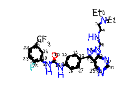 CCN(CC)CCNCn1nc(-c2ccc(NC(=O)Nc3cc(C(F)(F)F)ccc3F)cc2)c2cncnc21